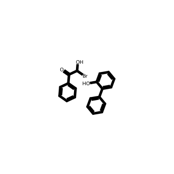 O=C(c1ccccc1)C(O)Br.Oc1ccccc1-c1ccccc1